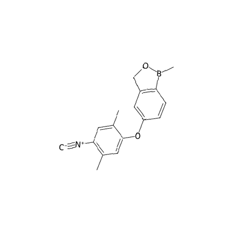 [C-]#[N+]c1cc(C)c(Oc2ccc3c(c2)COB3C)cc1C